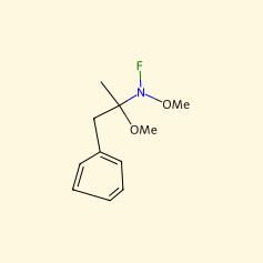 CON(F)C(C)(Cc1ccccc1)OC